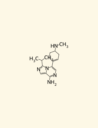 CNC1CC=C(c2cnc(N)c3cnc(C(C)C)n23)CC1